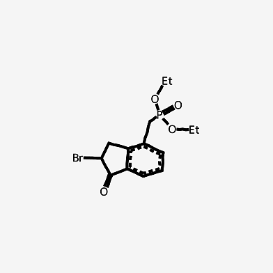 CCOP(=O)(Cc1cccc2c1CC(Br)C2=O)OCC